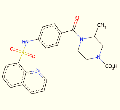 CC1CN(C(=O)O)CCN1C(=O)c1ccc(NS(=O)(=O)c2cccc3cccnc23)cc1